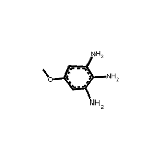 COc1cc(N)c(N)c(N)c1